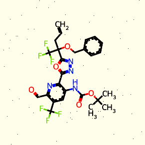 C=CCC(OCc1ccccc1)(c1nnc(-c2nc(C=O)c(C(F)(F)F)cc2NC(=O)OC(C)(C)C)o1)C(F)(F)F